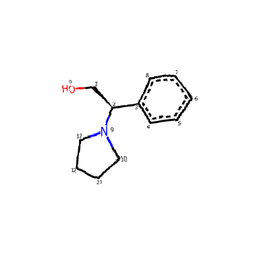 OC[C@@H](c1cc[c]cc1)N1CCCC1